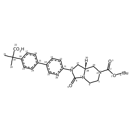 CC(C)(C)OC(=O)N1CCN2C(=O)N(c3ccc(-c4ccc(C(C)(C)C(=O)O)cc4)cn3)C[C@@H]2C1